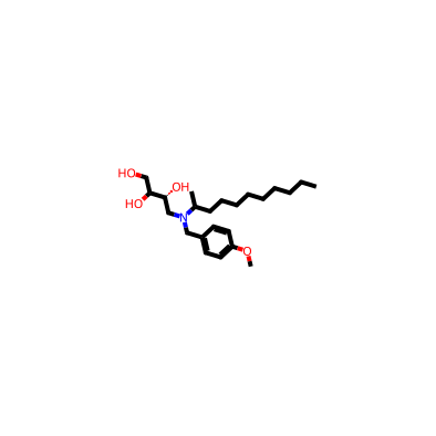 CCCCCCCCCC(C)N(Cc1ccc(OC)cc1)C[C@@H](O)C(O)CO